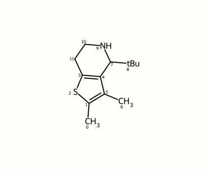 Cc1sc2c(c1C)C(C(C)(C)C)NCC2